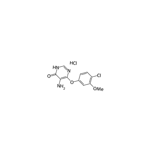 COc1cc(Oc2nc[nH]c(=O)c2N)ccc1Cl.Cl